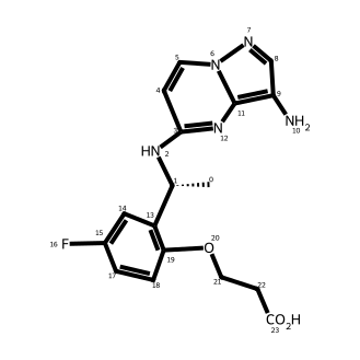 C[C@@H](Nc1ccn2ncc(N)c2n1)c1cc(F)ccc1OCCC(=O)O